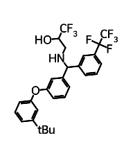 CC(C)(C)c1cccc(Oc2cccc(C(NCC(O)C(F)(F)F)c3cccc(C(F)(F)C(F)(F)F)c3)c2)c1